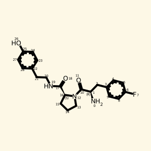 N[C@H](Cc1ccc(F)cc1)C(=O)N1CCC[C@H]1C(=O)NCCc1ccc(O)cc1